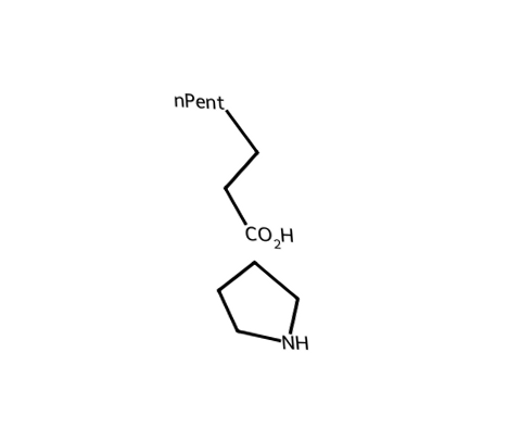 C1CCNC1.CCCCCCCC(=O)O